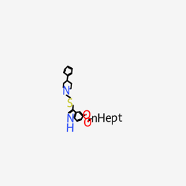 CCCCCCCC(=O)Oc1ccc2[nH]cc(CSCCN3CCC(c4ccccc4)CC3)c2c1